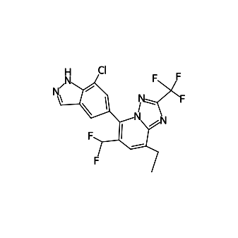 CCc1cc(C(F)F)c(-c2cc(Cl)c3[nH]ncc3c2)n2nc(C(F)(F)F)nc12